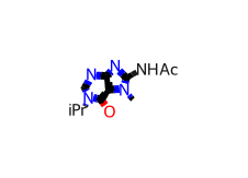 CC(=O)Nc1nc2ncn(C(C)C)c(=O)c2n1C